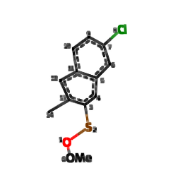 COOSc1cc2cc(Cl)ccc2cc1C